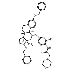 C[C@]12C[C@H](Oc3ccc(NC(=O)CN4CCOCC4)c(F)c3)[C@@H]3c4ccc(OCc5ccccc5)cc4CC[C@H]3[C@@H]1CC[C@@H]2OCc1ccccc1